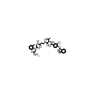 CC(C)[C@H](NC(=O)c1ccc(On2nnc3ccccc32)c(Cl)c1)C(=O)NCCC(=O)N[C@@H](Cc1ccccc1)C(=O)NCC(N)=O